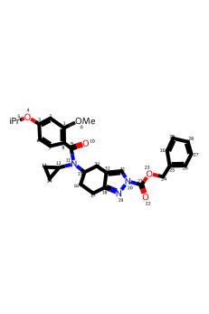 COc1cc(OC(C)C)ccc1C(=O)N(C1CC1)C1CCc2nn(C(=O)OCc3ccccc3)cc2C1